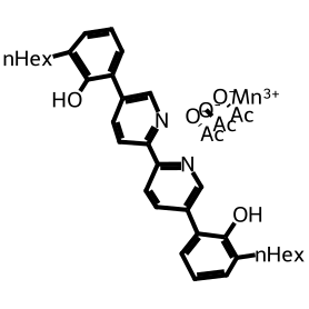 CC(=O)[O-].CC(=O)[O-].CC(=O)[O-].CCCCCCc1cccc(-c2ccc(-c3ccc(-c4cccc(CCCCCC)c4O)cn3)nc2)c1O.[Mn+3]